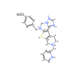 COc1ccc(CN2Cn3ncnc3-c3c2sc2c3CCN(Cc3ccccn3)C2)cc1